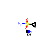 C#N.NS(=O)(=O)C1CC1.[KH]